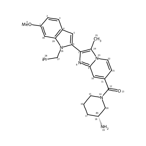 COc1ccc2cc(-c3nc4cc(C(=O)N5CCC[C@@H](N)C5)ccn4c3C)n(CC(C)C)c2c1